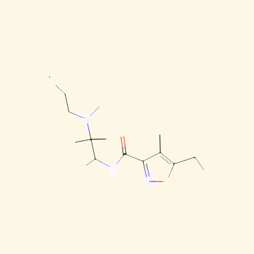 CCCCN(C)C(C)(C)C(C)NC(=O)c1noc(CC)c1C